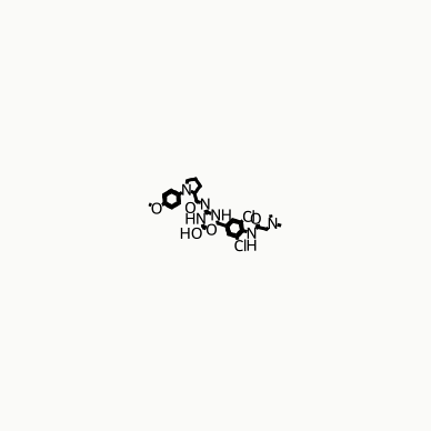 COc1ccc(N2CCCC2C(=O)/N=C(/NCc2cc(Cl)c(NC(=O)CN(C)C)c(Cl)c2)NC(=O)O)cc1